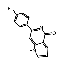 O=c1nc(-c2ccc(Br)cc2)cc2[nH]cccc1-2